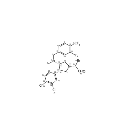 CN(Cc1ccc(C(F)(F)F)c(F)c1)[C@@H]1CN(C(Br)C=O)C[C@@H]1c1ccc(Cl)c(Cl)c1